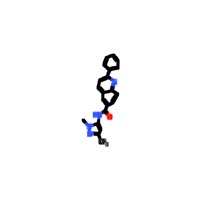 Cn1nc(C(F)(F)F)cc1NC(=O)c1ccc2nc(-c3ccccc3)ccc2c1